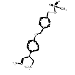 CC=CC(CC(=O)O)c1ccc(OCc2ccc(COS(C)(=O)=O)cc2)cc1